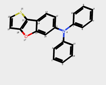 c1ccc(N(c2ccccc2)c2ccc3c(c2)oc2ccsc23)cc1